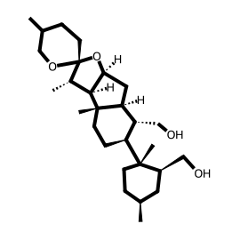 CC1CC[C@@]2(OC1)O[C@H]1C[C@H]3[C@H](CO)[C@@H]([C@@]4(C)CC[C@H](C)C[C@@H]4CO)CC[C@]3(C)[C@H]1[C@@H]2C